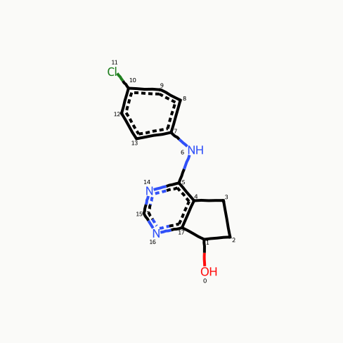 OC1CCc2c(Nc3ccc(Cl)cc3)ncnc21